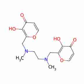 CN(CCN(C)Cc1occc(=O)c1O)Cc1occc(=O)c1O